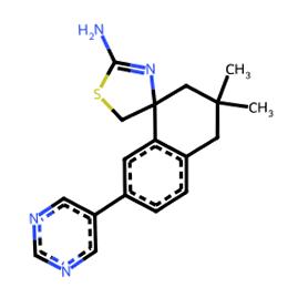 CC1(C)Cc2ccc(-c3cncnc3)cc2C2(CSC(N)=N2)C1